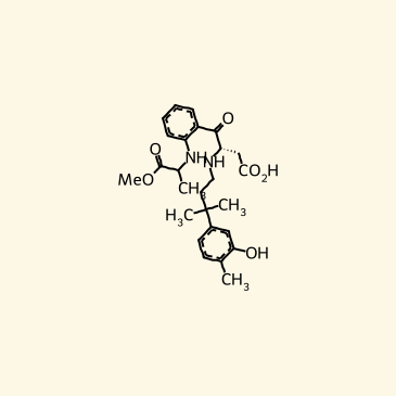 COC(=O)C(C)Nc1ccccc1C(=O)[C@H](CC(=O)O)NCCC(C)(C)c1ccc(C)c(O)c1